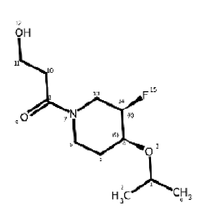 CC(C)O[C@H]1CCN(C(=O)CCO)C[C@H]1F